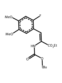 CCOC(=O)C(=Cc1cc(OC)c(OC)cc1F)NC(=O)OC(C)(C)C